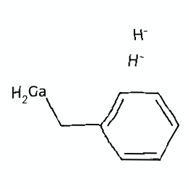 [GaH2][CH2]c1ccccc1.[H-].[H-]